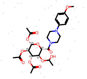 COc1ccc(N2CCN(C(=O)[C@H]3O[C@@H](OC(C)=O)[C@H](OC(C)=O)[C@@H](OC(C)=O)[C@@H]3OC(C)O)CC2)cc1